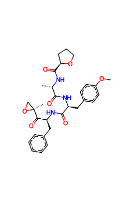 COc1ccc(C[C@H](NC(=O)[C@H](C)NC(=O)[C@H]2CCCO2)C(=O)N[C@@H](Cc2ccccc2)C(=O)[C@]2(C)CO2)cc1